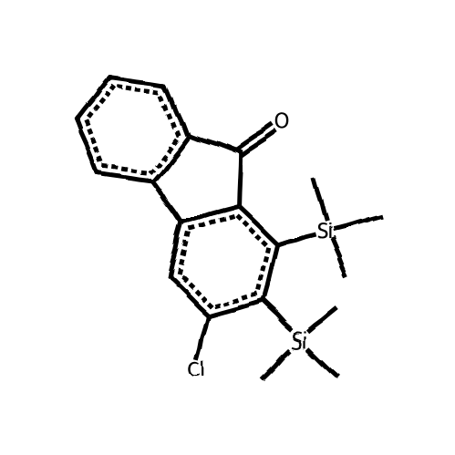 C[Si](C)(C)c1c(Cl)cc2c(c1[Si](C)(C)C)C(=O)c1ccccc1-2